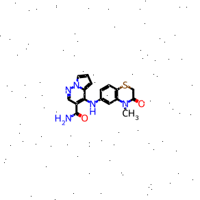 CN1C(=O)CSc2ccc(Nc3c(C(N)=O)cnn4cccc34)cc21